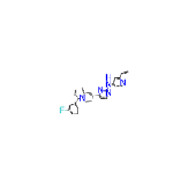 C=C/C=C(\C=C/N(C)C(CC)c1cccc(F)c1)c1ccnc(Nc2ccnc(C=C)c2)n1